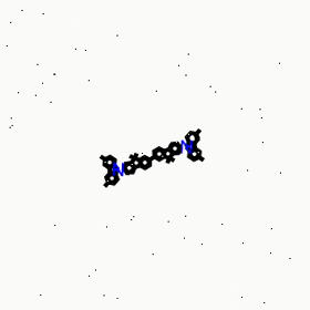 CC1=Cc2c(n(-c3ccc4c(c3)C(C)(C)c3cc(-c5ccc6c(c5)C(C)(C)c5cc(-n7c8ccc(C)cc8c8cc(C)ccc87)ccc5-6)ccc3-4)c3ccc(C)cc23)CC1